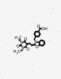 CCN1C(=O)C(=CC=C2Oc3ccccc3N2Cc2ccc(C(=O)O)cc2)C(=O)N(CC)C1=O